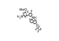 COC[C@@]1(C)C[C@@](C)(c2cc(Nc3nccc4cc(OCC(F)(F)C(F)F)cnc34)cc(F)c2F)N=C(N)S1